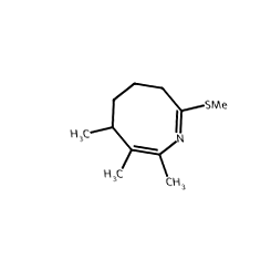 CS/C1=N/C(C)=C(/C)C(C)CCC1